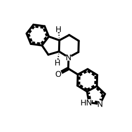 O=C(c1ccc2cn[nH]c2c1)N1CCC[C@@H]2c3ccccc3C[C@@H]21